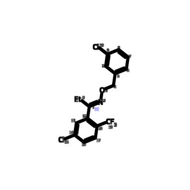 CC/C(=N\OCc1cccc(Cl)c1)c1cc(Cl)ccc1C(F)(F)F